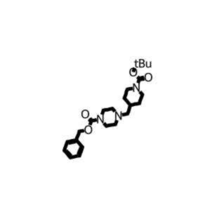 CC(C)(C)OC(=O)N1CCC(CN2CCN(C(=O)OCc3ccccc3)CC2)CC1